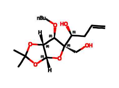 C=CC[C@H](O)[C@@]1(CO)O[C@@H]2OC(C)(C)O[C@@H]2[C@H]1OCCCC